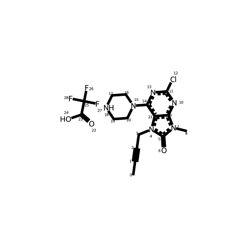 CC#CCn1c(=O)n(C)c2nc(Cl)nc(N3CCNCC3)c21.O=C(O)C(F)(F)F